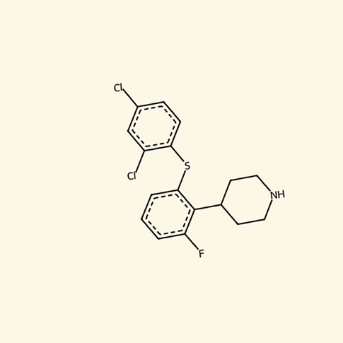 Fc1cccc(Sc2ccc(Cl)cc2Cl)c1C1CCNCC1